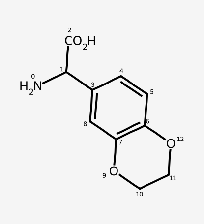 NC(C(=O)O)c1ccc2c(c1)OCCO2